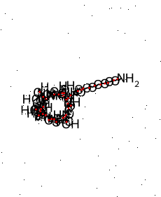 CC(=O)N[C@@H](CC(=O)O)C(=O)N[C@H]1CSSC[C@@H](C(=O)N[C@H](C(=O)O)[C@@H](C)O)NC(=O)[C@H](Cc2c[nH]c3ccccc23)NC(=O)[C@H](C(C)C)NC(=O)[C@H](CC(C)C)NC(=O)[C@H](CCC(=O)O)NC(=O)CNC(=O)[C@H](CC(C)C)NC(=O)[C@H](CCNCc2ccc(OC(=O)CCOCCOCCOCCOCCOCCOCCN)cc2)NC(=O)[C@H](Cc2c[nH]c3ccccc23)NC(=O)[C@H](C)NC1=O